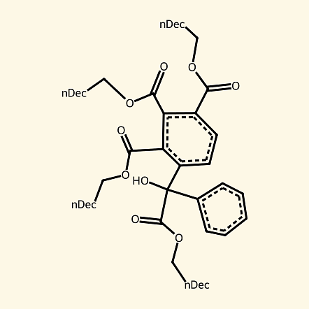 CCCCCCCCCCCOC(=O)c1ccc(C(O)(C(=O)OCCCCCCCCCCC)c2ccccc2)c(C(=O)OCCCCCCCCCCC)c1C(=O)OCCCCCCCCCCC